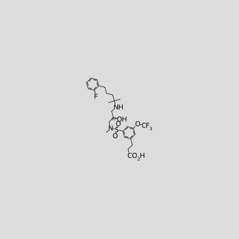 CN(C[C@H](O)CNC(C)(C)CCCc1ccccc1F)S(=O)(=O)c1cc(CCC(=O)O)cc(OC(F)(F)F)c1